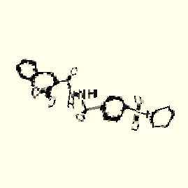 O=C(NNC(=O)c1cc2ccccc2oc1=O)c1ccc(S(=O)(=O)N2CCCCC2)cc1